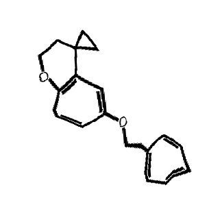 c1ccc(COc2ccc3c(c2)C2(CCO3)CC2)cc1